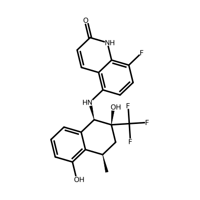 C[C@@H]1C[C@@](O)(C(F)(F)F)[C@H](Nc2ccc(F)c3[nH]c(=O)ccc23)c2cccc(O)c21